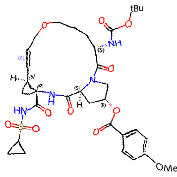 COc1ccc(C(=O)O[C@@H]2C[C@H]3C(=O)N[C@]4(C(=O)NS(=O)(=O)C5CC5)C[C@H]4/C=C\COCCC[C@H](NC(=O)OC(C)(C)C)C(=O)N3C2)cc1